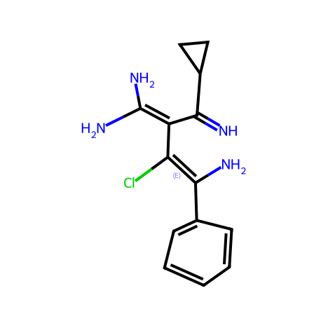 N=C(C(=C(N)N)/C(Cl)=C(\N)c1ccccc1)C1CC1